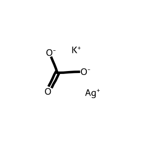 O=C([O-])[O-].[Ag+].[K+]